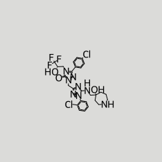 O=c1n(Cc2nc(NCC3(O)CCCNCC3)n(-c3ccccc3Cl)n2)nc(-c2ccc(Cl)cc2)n1C[C@H](O)C(F)(F)F